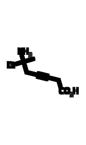 CCC(C)(N)CC#CCC(=O)O